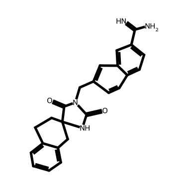 N=C(N)c1ccc2ccc(CN3C(=O)NC4(CCc5ccccc5C4)C3=O)cc2c1